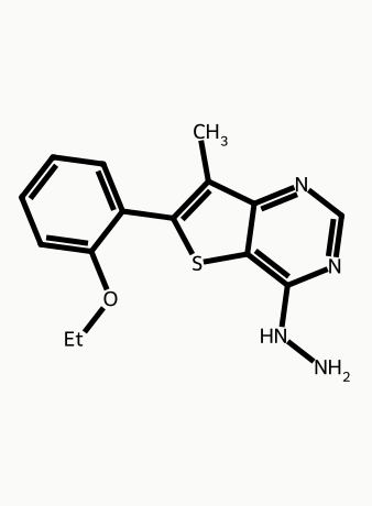 CCOc1ccccc1-c1sc2c(NN)ncnc2c1C